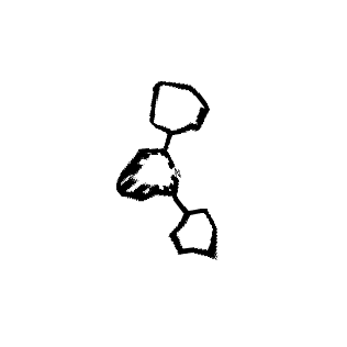 C1=CC(c2cccc(C3CCCCC3)n2)CCC1